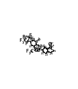 O=C(Nc1c(I)cc(C(F)(C(F)(F)F)C(F)(F)Br)cc1[S+]([O-])C(F)(F)F)c1ccc2ccc[n+]([O-])c2c1